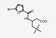 C[N+](C)(C)CC(CC(=O)[O-])NC(=O)c1ccc(Br)o1